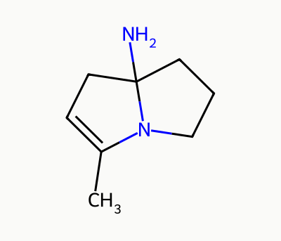 CC1=CCC2(N)CCCN12